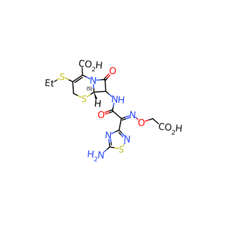 CCSC1=C(C(=O)O)N2C(=O)C(NC(=O)C(=NOCC(=O)O)c3nsc(N)n3)[C@@H]2SC1